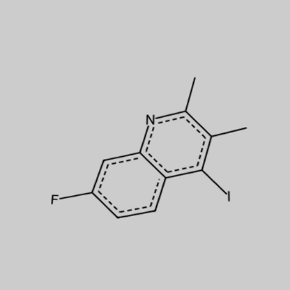 Cc1nc2cc(F)ccc2c(I)c1C